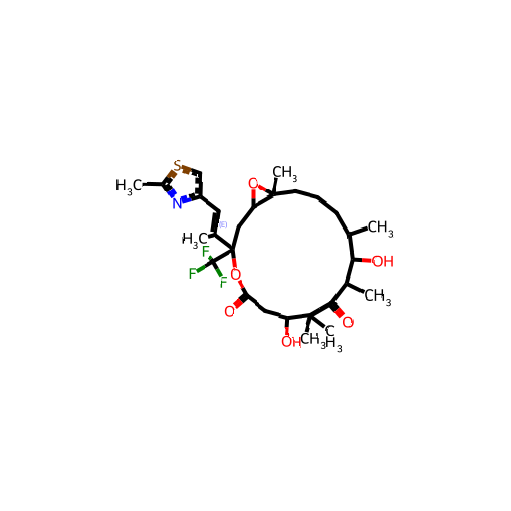 C/C(=C\c1csc(C)n1)C1(C(F)(F)F)CC2OC2(C)CCCC(C)C(O)C(C)C(=O)C(C)(C)C(O)CC(=O)O1